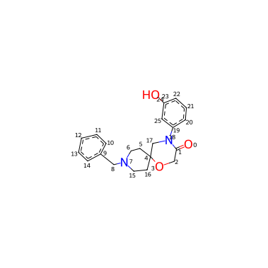 O=C1COC2(CCN(Cc3ccccc3)CC2)CN1c1cccc(O)c1